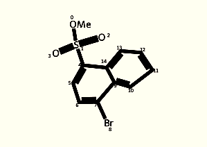 [CH2]OS(=O)(=O)c1ccc(Br)c2ccccc12